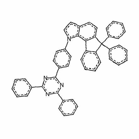 c1ccc(-c2nc(-c3ccccc3)nc(-c3ccc(-n4ccc5ccc6c(c54)-c4ccccc4C6(c4ccccc4)c4ccccc4)cc3)n2)cc1